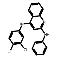 Clc1ccc(Nc2cc(Nc3ccccc3)nc3ccccc23)cc1Cl